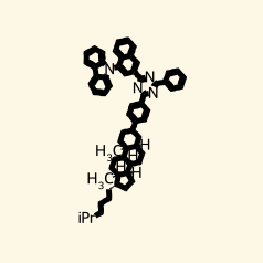 CC(C)CCCC[C@H]1CC[C@H]2[C@@H]3CC[C@H]4CC(c5ccc(-c6nc(-c7ccccc7)nc(-c7cc(-n8c9ccccc9c9ccccc98)c8ccccc8c7)n6)cc5)CC[C@]4(C)[C@H]3CC[C@]12C